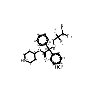 Cl.O=C(OC1CCNCC1)C(OCC(F)(F)C(F)F)(c1ccccc1)c1ccccc1